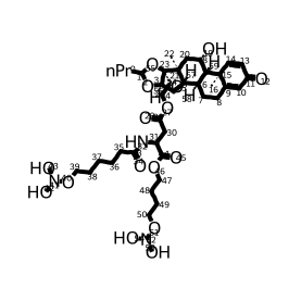 CCCC1O[C@@H]2C[C@H]3[C@@H]4CCC5=CC(=O)C=C[C@]5(C)[C@H]4[C@@H](O)C[C@]3(C)[C@]2(C(=O)COC(=O)CC(NC(=O)CCCCCON(O)O)C(=O)OCCCCON(O)O)O1